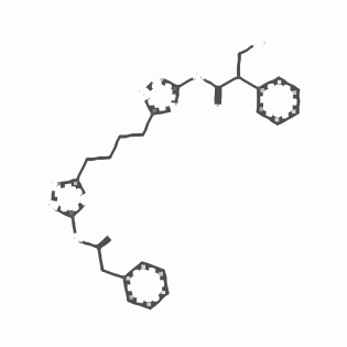 O=C(Cc1ccccc1)Nc1nnc(CCCCc2nnc(NC(=O)C(CO)c3ccccc3)s2)s1